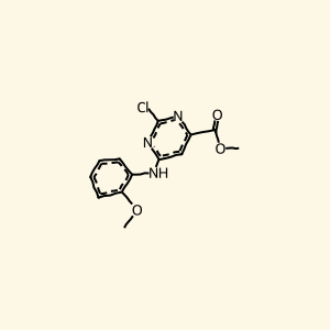 COC(=O)c1cc(Nc2ccccc2OC)nc(Cl)n1